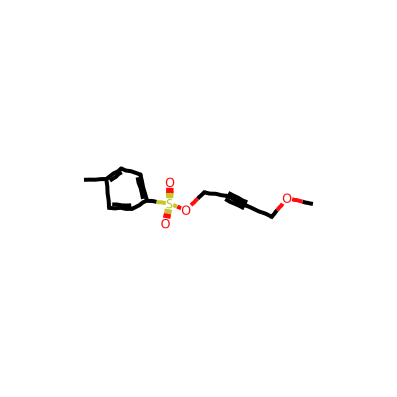 COCC#CCOS(=O)(=O)c1ccc(C)cc1